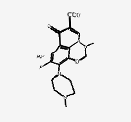 CN1CCN(c2c(F)cc3c(=O)c(C(=O)[O-])cn4c3c2OCN4C)CC1.[Na+]